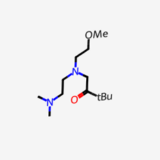 COCCN(CCN(C)C)CC(=O)C(C)(C)C